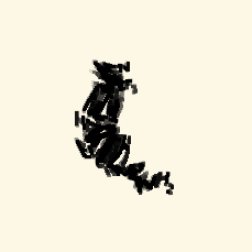 CCc1cc(Nc2nccn3c(-c4cn(CC#N)nc4C(F)(F)F)cnc23)ccc1C(=O)NCCNC(=O)CCCN